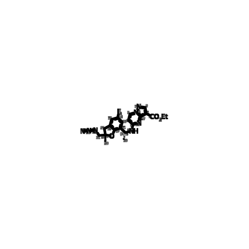 CCOC(=O)c1cnn2ccc(N[C@H](C)c3cc(F)cc4c3O[C@](C)(CN=[N+]=[N-])C4)nc12